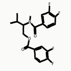 CC(C)C(COC(=O)c1ccc(F)c(F)c1)N(C)C(=O)c1ccc(F)c(F)c1